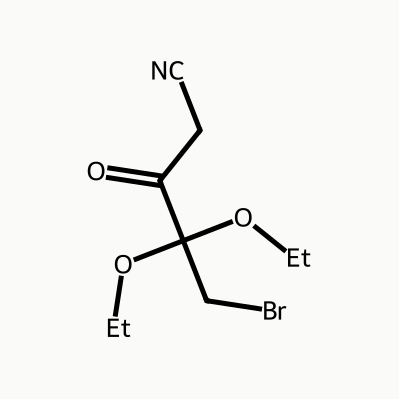 CCOC(CBr)(OCC)C(=O)CC#N